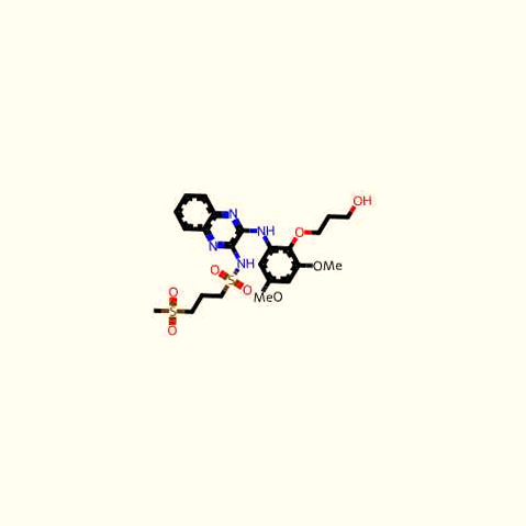 COc1cc(Nc2nc3ccccc3nc2NS(=O)(=O)CCCS(C)(=O)=O)c(OCCCO)c(OC)c1